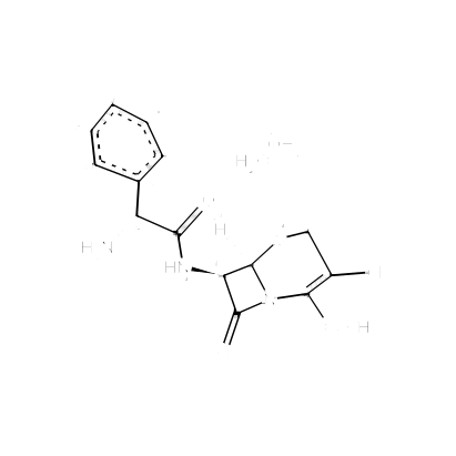 N[C@@H](C(=O)N[C@@H]1C(=O)N2C(C(=O)O)=C(Cl)CS[C@H]12)c1ccccc1.O.O